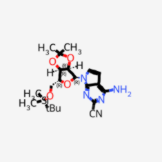 CC1(C)O[C@@H]2[C@H](O1)[C@@H](CO[Si](C)(C)C(C)(C)C)O[C@H]2n1ccc2c(N)nc(C#N)nc21